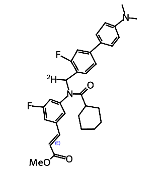 [2H]C(c1ccc(-c2ccc(N(C)C)cc2)cc1F)N(C(=O)C1CCCCC1)c1cc(F)cc(/C=C/C(=O)OC)c1